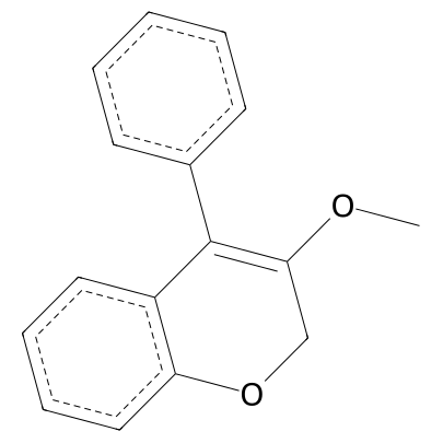 COC1=C(c2ccccc2)c2ccccc2OC1